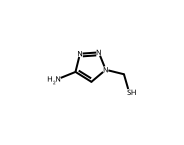 Nc1cn(CS)nn1